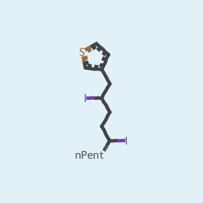 CCCCCC(I)CCC(I)Cc1ccsc1